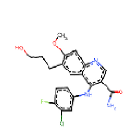 COc1cc2ncc(C(N)=O)c(Nc3ccc(F)c(Cl)c3)c2cc1CCCO